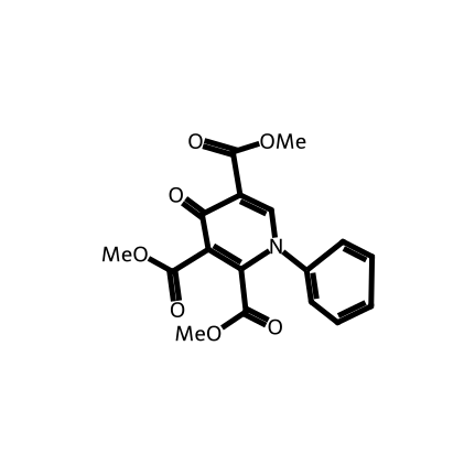 COC(=O)c1cn(-c2ccccc2)c(C(=O)OC)c(C(=O)OC)c1=O